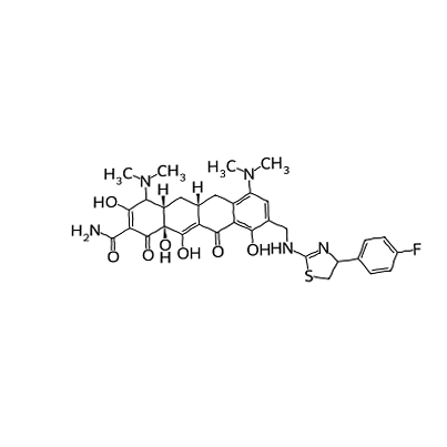 CN(C)c1cc(CNC2=NC(c3ccc(F)cc3)CS2)c(O)c2c1C[C@H]1C[C@H]3C(N(C)C)C(O)=C(C(N)=O)C(=O)[C@@]3(O)C(O)=C1C2=O